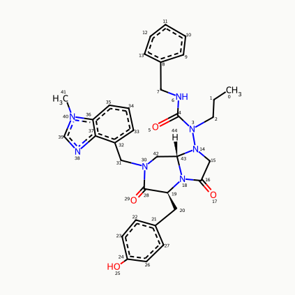 CCCN(C(=O)NCc1ccccc1)N1CC(=O)N2[C@@H](Cc3ccc(O)cc3)C(=O)N(Cc3cccc4c3ncn4C)C[C@@H]21